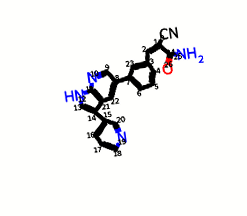 N#CC(=Cc1cccc(-c2cnc3[nH]cc(-c4cccnc4)c3c2)c1)C(N)=O